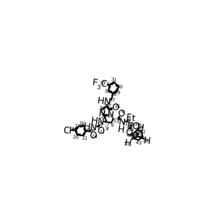 CC[C@H](NC(=O)[C@@H]1C[C@@](C)(NC(=O)NC(=O)c2ccc(Cl)cc2)c2ncc(NCc3cccc(C(F)(F)F)c3)c(=O)n21)B1O[C@@H]2C[C@@H]3C[C@@H](C3(C)C)[C@]2(C)O1